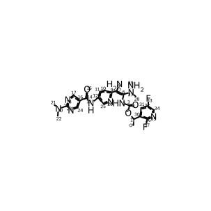 C[C@@H](OC(=O)N/C(=C(/N)c1ccc(NC(=O)c2cnc(N(C)C)nc2)cn1)N(C)N)c1cc(F)cnc1F